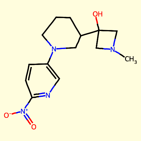 CN1CC(O)(C2CCCN(c3ccc([N+](=O)[O-])nc3)C2)C1